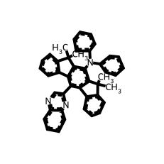 CC1(C)c2ccccc2-c2c(-c3cnc4ccccc4n3)c3c(c(N(c4ccccc4)c4ccccc4)c21)C(C)(C)c1ccccc1-3